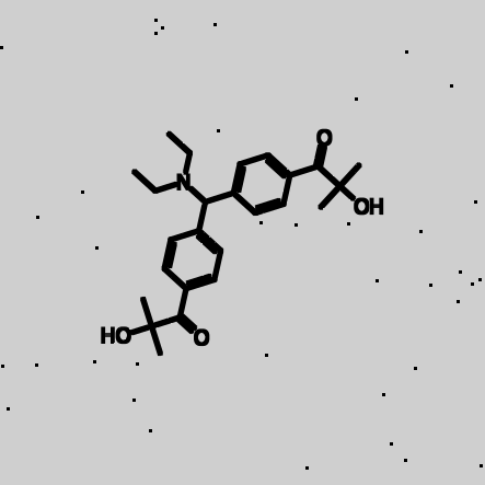 CCN(CC)C(c1ccc(C(=O)C(C)(C)O)cc1)c1ccc(C(=O)C(C)(C)O)cc1